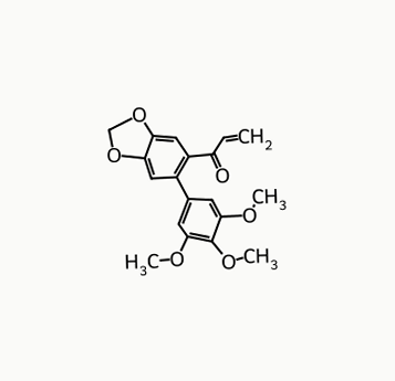 C=CC(=O)c1cc2c(cc1-c1cc(OC)c(OC)c(OC)c1)OCO2